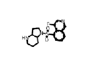 O=S(=O)(c1cccc2cncc(F)c12)N1CCC2NCCCC21